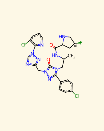 O=C(NC(Cn1c(-c2ccc(Cl)cc2)nn(Cc2ncn(-c3ncccc3Cl)n2)c1=O)C(F)(F)F)C1C[C@H](F)CN1